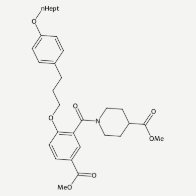 CCCCCCCOc1ccc(CCCOc2ccc(C(=O)OC)cc2C(=O)N2CCC(C(=O)OC)CC2)cc1